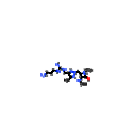 Cc1nn(CC2C(NC=O)C(=O)N2S(=O)(=O)O)nc1CNC(=N)NCCCN